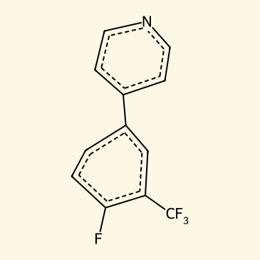 Fc1ccc(-c2ccncc2)cc1C(F)(F)F